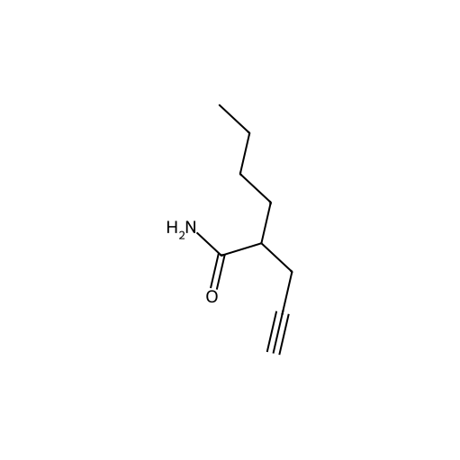 C#CCC(CCCC)C(N)=O